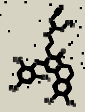 CS/C(=N\C#N)NCCn1c(=O)n2c(c/c1=N\c1c(C)cc(C)cc1C)-c1cc(C)c(C)cc1CC2